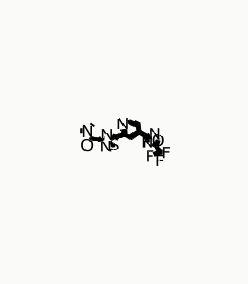 CN(C)C(=O)c1nsc(-c2cc(-c3noc(C(F)(F)F)n3)ccn2)n1